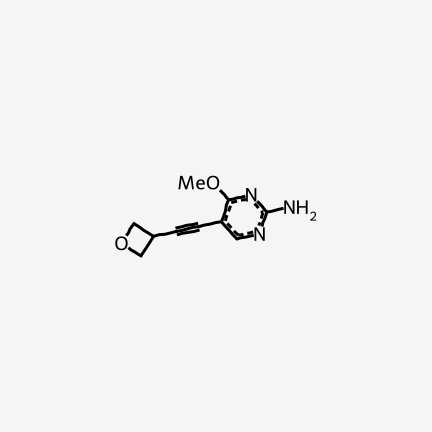 COc1nc(N)ncc1C#CC1COC1